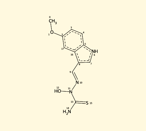 COc1ccc2[nH]cc(/C=N/N(O)C(N)=S)c2c1